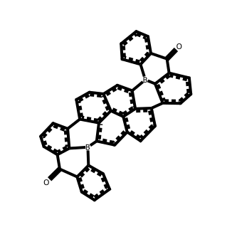 O=C1c2ccccc2B2c3c1cccc3-c1ccc3cc4c5c(ccc6cc2c1c3c65)-c1cccc2c1B4c1ccccc1C2=O